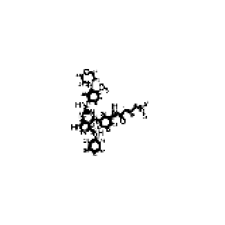 COc1ccc(Nc2nc(-c3cccc(NC(=O)/C=C/CN(C)C)c3)c3c(Nc4ccccc4)n[nH]c3n2)cc1N1CCOCC1